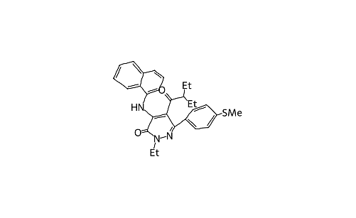 CCC(CC)C(=O)c1c(-c2ccc(SC)cc2)nn(CC)c(=O)c1Nc1cccc2ccccc12